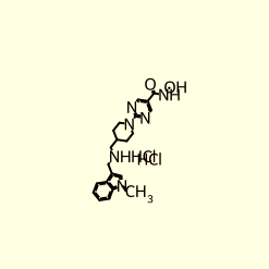 Cl.Cl.Cn1cc(CNCC2CCN(c3ncc(C(=O)NO)cn3)CC2)c2ccccc21